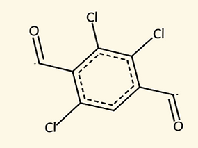 O=[C]c1cc(Cl)c([C]=O)c(Cl)c1Cl